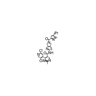 COc1cnc(Cl)cc1-c1cc(C)ncc1C(=O)Nc1nc2c(s1)CN(C(=O)c1cc(C(C)C)n(C)n1)C2